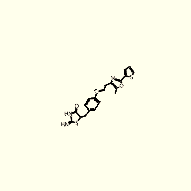 Cc1oc(-c2cccs2)nc1CCOc1ccc(CC2SC(=N)NC2=O)cc1